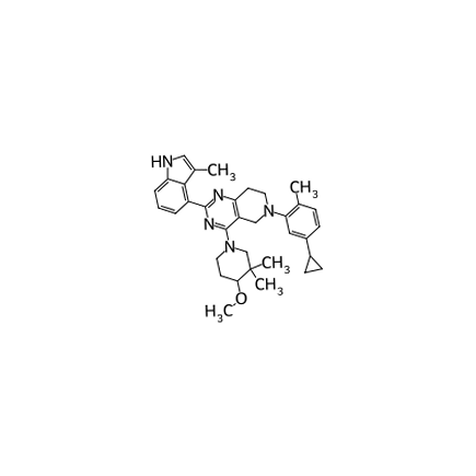 COC1CCN(c2nc(-c3cccc4[nH]cc(C)c34)nc3c2CN(c2cc(C4CC4)ccc2C)CC3)CC1(C)C